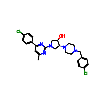 Cc1cc(-c2ccc(Cl)cc2)nc(N2C[C@@H](O)[C@H](N3CCN(Cc4ccc(Cl)cc4)CC3)C2)n1